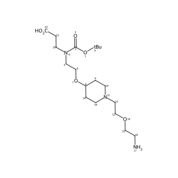 CC(C)(C)OC(=O)N(CCOC1CCN(CCOCCN)CC1)CCC(=O)O